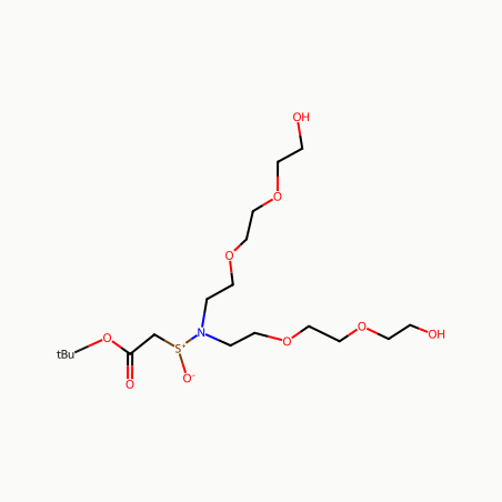 CC(C)(C)OC(=O)C[S+]([O-])N(CCOCCOCCO)CCOCCOCCO